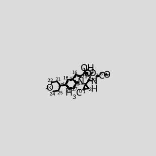 C[C@H]1C[C@]1(C1=NOC(=C=O)N1)n1c(C(=O)O)cc2cc(C3CCOCC3)ccc21